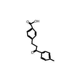 Cc1ccc(C(=O)CCc2ccc(C(=O)O)cc2)cc1